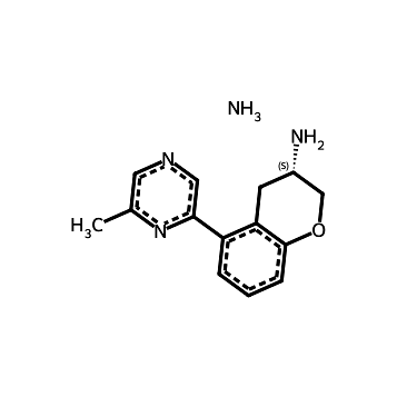 Cc1cncc(-c2cccc3c2C[C@H](N)CO3)n1.N